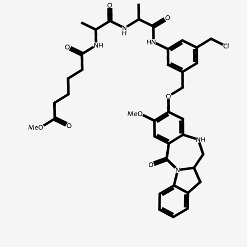 COC(=O)CCCCC(=O)NC(C)C(=O)NC(C)C(=O)Nc1cc(CCl)cc(COc2cc3c(cc2OC)C(=O)N2c4ccccc4CC2CN3)c1